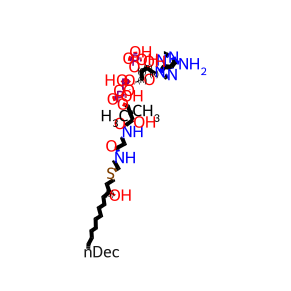 CCCCCCCCCCCCCCCCCCC[C@H](O)CCSCCNC(=O)CCNC(=O)C(O)C(C)(C)COP(=O)(O)OP(=O)(O)OC[C@H]1O[C@@H](n2cnc3c(N)ncnc32)[C@H](O)[C@@H]1OP(=O)(O)O